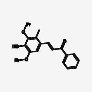 Cc1c(C=CC(=O)c2ccccc2)cc(OC(C)C)c(O)c1OC(C)C